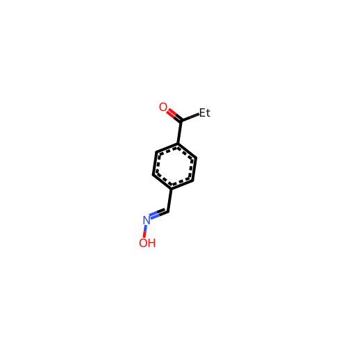 CCC(=O)c1ccc(C=NO)cc1